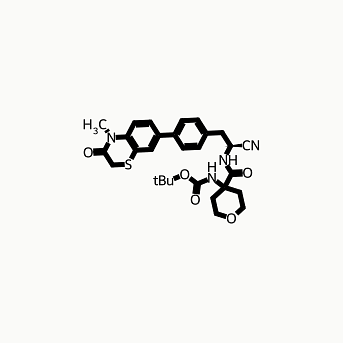 CN1C(=O)CSc2cc(-c3ccc(C[C@@H](C#N)NC(=O)C4(NC(=O)OC(C)(C)C)CCOCC4)cc3)ccc21